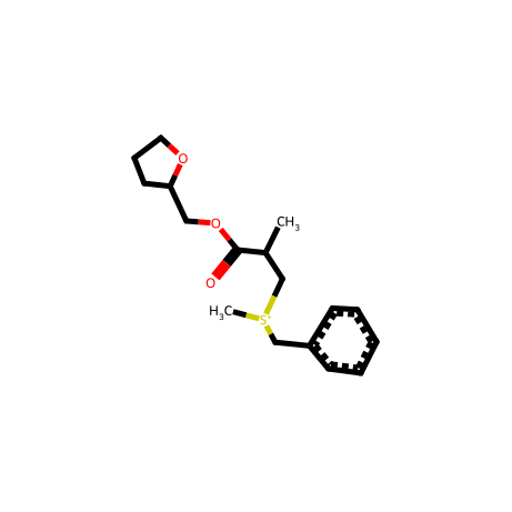 CC(C[S+](C)Cc1ccccc1)C(=O)OCC1CCCO1